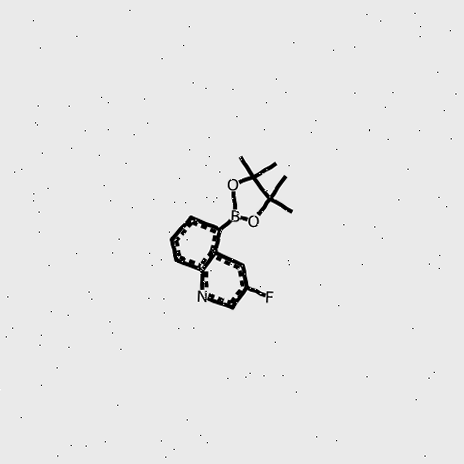 CC1(C)OB(c2cccc3ncc(F)cc23)OC1(C)C